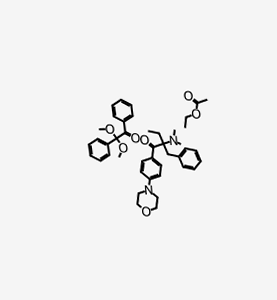 CCC(Cc1ccccc1)(C(=O)c1ccc(N2CCOCC2)cc1)N(C)C.CCOC(C)=O.COC(OC)(C(=O)c1ccccc1)c1ccccc1